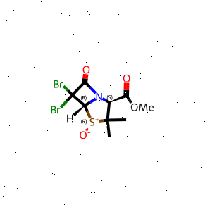 COC(=O)[C@@H]1N2C(=O)C(Br)(Br)[C@H]2[S@@+]([O-])C1(C)C